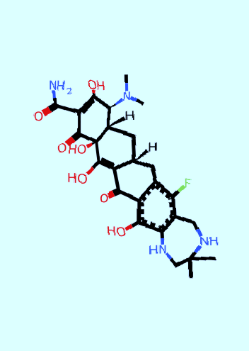 CN(C)[C@@H]1C(O)=C(C(N)=O)C(=O)[C@@]2(O)C(O)=C3C(=O)c4c(O)c5c(c(F)c4C[C@H]3C[C@@H]12)CNC(C)(C)CN5